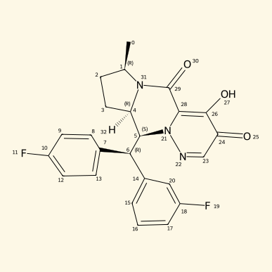 C[C@@H]1CC[C@@H]2[C@H]([C@H](c3ccc(F)cc3)c3cccc(F)c3)n3ncc(=O)c(O)c3C(=O)N12